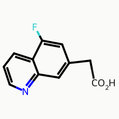 O=C(O)Cc1cc(F)c2cccnc2c1